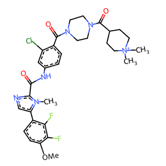 COc1ccc(-c2cnc(C(=O)Nc3ccc(C(=O)N4CCN(C(=O)C5CC[N+](C)(C)CC5)CC4)c(Cl)c3)n2C)c(F)c1F